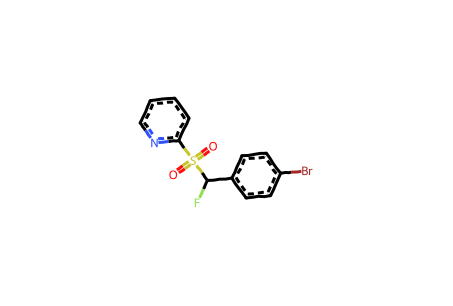 O=S(=O)(c1ccccn1)C(F)c1ccc(Br)cc1